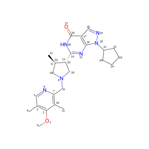 COc1c(C)cnc(CN2C[C@@H](C)[C@H](c3nc4c(cnn4C4CCCC4)c(=O)[nH]3)C2)c1C